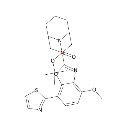 COc1ccc(-c2nccs2)c2oc(N3CC4CCCC(C3)N4C(=O)OC(C)(C)C)nc12